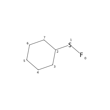 FSC1CCCCC1